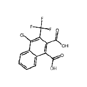 O=C(O)c1c(C(F)(F)F)c(Cl)c2ccccc2c1C(=O)O